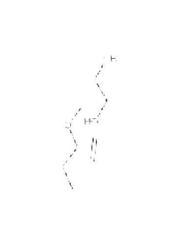 C=C.CCCOC.OCCO